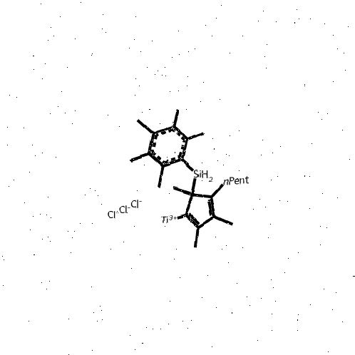 CCCCCC1=C(C)C(C)=[C]([Ti+3])C1(C)[SiH2]c1c(C)c(C)c(C)c(C)c1C.[Cl-].[Cl-].[Cl-]